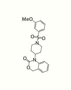 COc1cccc(S(=O)(=O)N2CCC(N3C(=O)OCc4ccccc43)CC2)c1